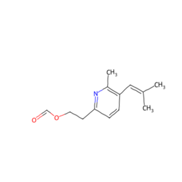 CC(C)=Cc1ccc(CCOC=O)nc1C